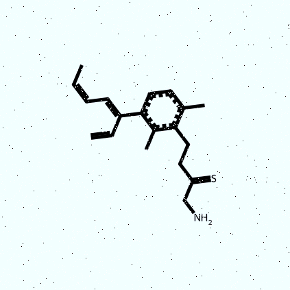 C=C/C(=C\C=C/C)c1ccc(C)c(CCC(=S)CN)c1C